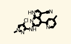 Cc1ccnc(-c2cc(Nc3nn(C)cc3Cl)nc3[nH]cc(C#N)c23)c1